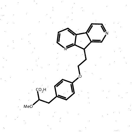 COC(Cc1ccc(OCCC2c3cnccc3-c3cccnc32)cc1)C(=O)O